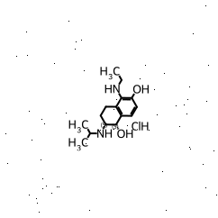 CCNc1c(O)ccc2c1CC[C@H](NC(C)C)[C@H]2O.Cl